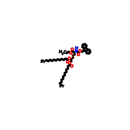 C=CCOC(=O)C(CSC[C@@H](COC(=O)CCCCCCCCCCCC(C)C)OC(=O)CCCCCCCCCCCC(C)C)NC(=O)OCC1c2ccccc2-c2ccccc21